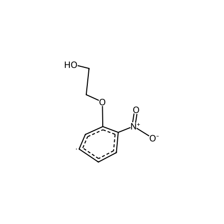 O=[N+]([O-])c1cc[c]cc1OCCO